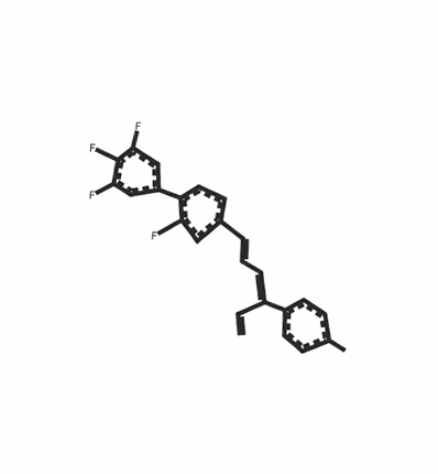 C=C/C(=C\C=C\c1ccc(-c2cc(F)c(F)c(F)c2)c(F)c1)c1ccc(C)cc1